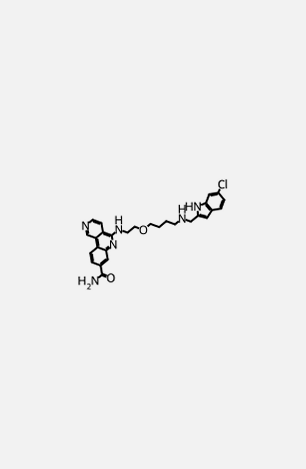 NC(=O)c1ccc2c(c1)nc(NCCOCCCCNCc1cc3ccc(Cl)cc3[nH]1)c1ccncc12